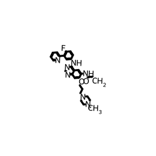 C=CC(=O)Nc1cc2c(Nc3ccc(F)c(-c4ccccn4)c3)ncnc2cc1OCCCN1CCN(C)CC1